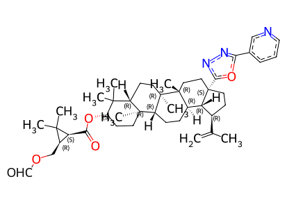 C=C(C)[C@@H]1CC[C@]2(c3nnc(-c4cccnc4)o3)CC[C@]3(C)[C@H](CC[C@@H]4[C@@]5(C)CC[C@H](OC(=O)[C@H]6[C@@H](COC=O)C6(C)C)C(C)(C)[C@@H]5CC[C@]43C)[C@@H]12